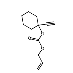 C#CC1(OC(=O)OCC=C)CCCCC1